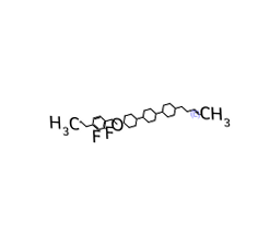 C/C=C/CCC1CCC(C2CCC(C3CCC(OCc4ccc(CCC)c(F)c4F)CC3)CC2)CC1